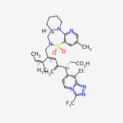 C=C(/C=C(CN1C[C@H]2CCCCN2c2ncc(C)cc2S1(=O)=O)\C(C)=C/C)[C@H](CC(=O)O)c1ccn2c(C(F)(F)F)nnc2c1CC